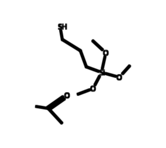 CC(C)=O.CO[Si](CCCS)(OC)OC